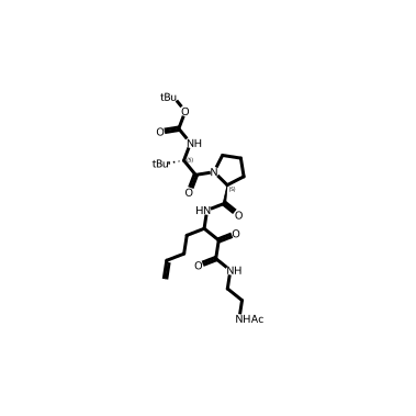 C=CCCC(NC(=O)[C@@H]1CCCN1C(=O)[C@@H](NC(=O)OC(C)(C)C)C(C)(C)C)C(=O)C(=O)NCCNC(C)=O